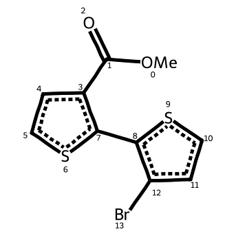 COC(=O)c1ccsc1-c1sccc1Br